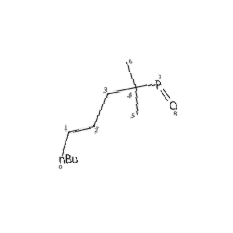 CCCCCCCC(C)(C)P=O